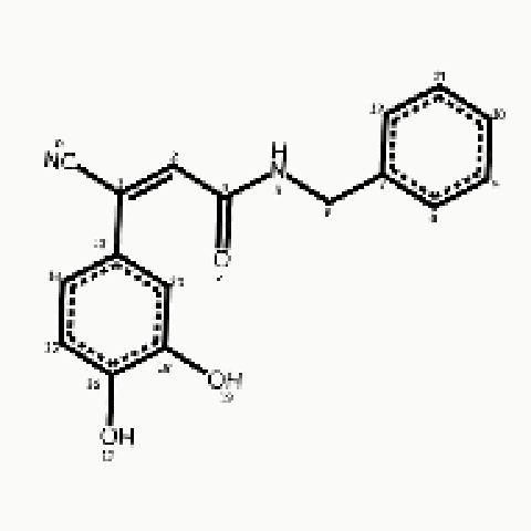 N#CC(=CC(=O)NCc1ccccc1)c1ccc(O)c(O)c1